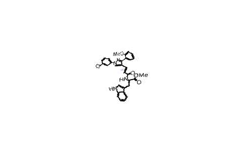 COC(=O)C(Cc1c[nH]c2ccccc12)NC(=O)/C=C/c1cn(-c2cccc(Cl)c2)nc1-c1ccccc1OC